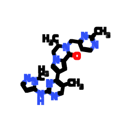 Cc1nccc(CN2C(=O)c3cc(-c4nc(Nc5ccnn5C)ncc4C)cn3C[C@@H]2C)n1